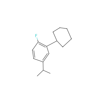 CC(C)c1ccc(F)c(C2CCCCC2)c1